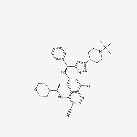 C[C@@H](Nc1c(C#N)cnc2c(Cl)cc(N[C@@H](c3ccccc3)c3cn(C4CCN(C(C)(C)C)CC4)nn3)cc12)C1CCOCC1